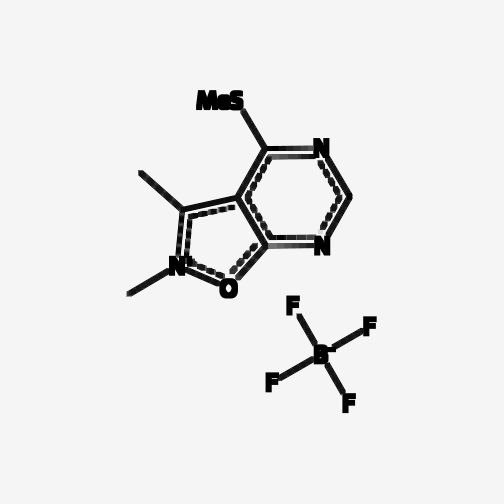 CSc1ncnc2o[n+](C)c(C)c12.F[B-](F)(F)F